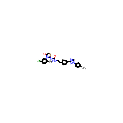 CC(C)c1ccc(Cl)cc1N1C(=O)CS/C1=N\C(=O)NCCc1ccc(-c2ncn(-c3ccc(C(F)(F)F)cc3)n2)cc1